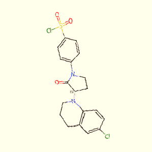 O=C1[C@@H](N2CCCc3cc(Cl)ccc32)CCN1c1ccc(S(=O)(=O)Cl)cc1